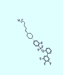 CCCCC[C@H]1CC[C@H](c2ccc(C(F)(F)Oc3ccccc3-c3cc(F)c(F)c(F)c3)c(F)c2)CC1